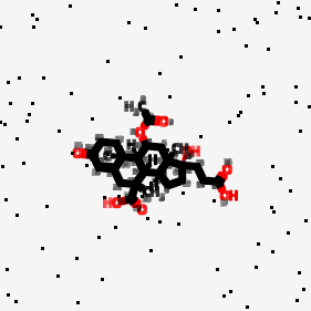 CC(=O)OC1C[C@@]2(C)[C@@H](CC[C@]2(O)CCC(=O)O)[C@H]2[C@H]1[C@@]1(C)CCC(=O)C=C1CC2(C)C(=O)O